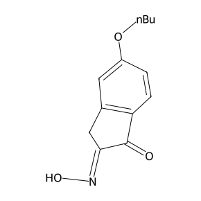 CCCCOc1ccc2c(c1)CC(=NO)C2=O